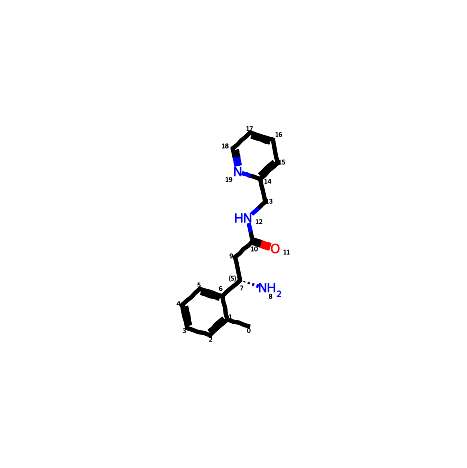 Cc1ccccc1[C@@H](N)CC(=O)NCc1ccccn1